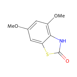 COc1cc(OC)c2[nH]c(=O)sc2c1